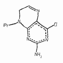 CC(C)N1CC=Nc2c(Cl)nc(N)nc21